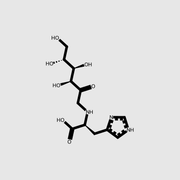 O=C(O)[C@H](Cc1c[nH]cn1)NCC(=O)[C@@H](O)[C@H](O)[C@H](O)CO